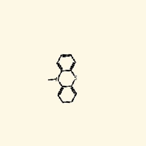 CN1C2=CCCC=C2Sc2ccccc21